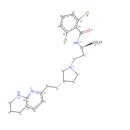 O=C(N[C@H](CCN1CC[C@H](CCc2ccc3c(n2)NCCC3)C1)C(=O)O)c1c(Cl)cccc1Cl